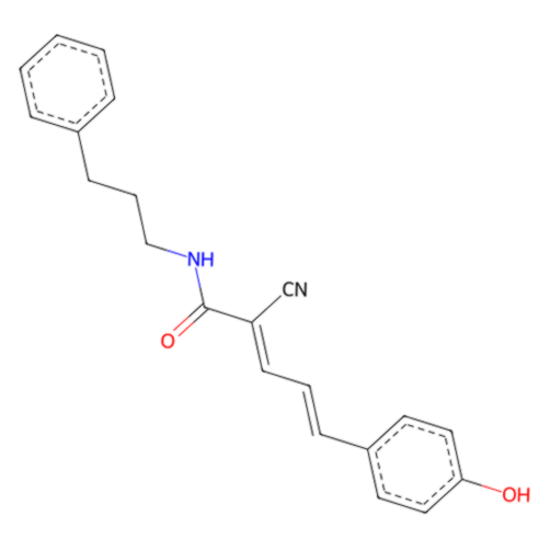 N#C/C(=C\C=C\c1ccc(O)cc1)C(=O)NCCCc1ccccc1